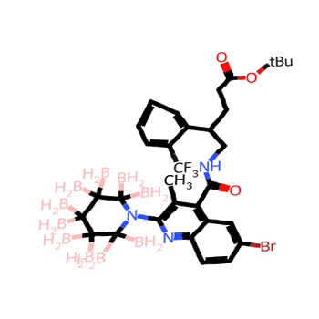 BC1(B)N(c2nc3ccc(Br)cc3c(C(=O)NCC(CCC(=O)OC(C)(C)C)c3ccccc3C(F)(F)F)c2C)C(B)(B)C(B)(B)C(B)(B)C1(B)B